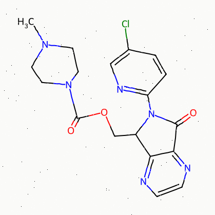 CN1CCN(C(=O)OCC2c3nccnc3C(=O)N2c2ccc(Cl)cn2)CC1